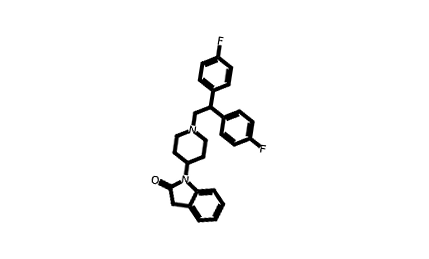 O=C1Cc2ccccc2N1C1CCN(CC(c2ccc(F)cc2)c2ccc(F)cc2)CC1